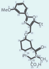 CCc1oc(-c2cccc(OC)c2)nc1COC1CCCC(C(=O)N(C)[C@H](C(=O)O)C(C)C)C1